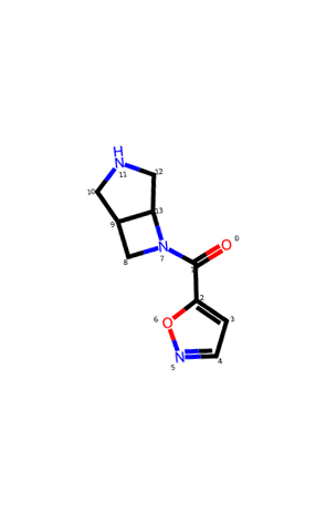 O=C(c1ccno1)N1CC2CNCC21